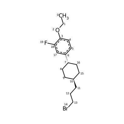 CCOc1ccc([C@H]2CC[C@H](CCCBr)CC2)cc1F